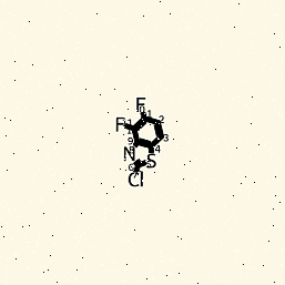 Fc1ccc2sc(Cl)nc2c1F